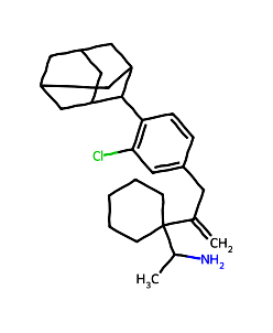 C=C(Cc1ccc(C2C3CC4CC(C3)CC2C4)c(Cl)c1)C1(C(C)N)CCCCC1